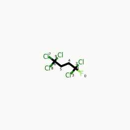 FC(Cl)(Cl)[CH]CC(Cl)(Cl)Cl